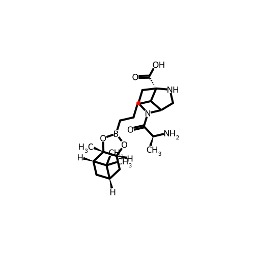 C[C@H](N)C(=O)N1CC[C@@]2(C(=O)O)NCC1C2CCCB1O[C@@H]2C[C@@H]3C[C@@H](C3(C)C)[C@]2(C)O1